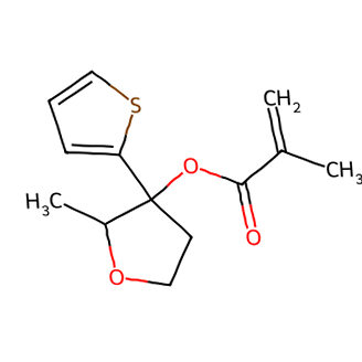 C=C(C)C(=O)OC1(c2cccs2)CCOC1C